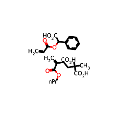 C=C(CCC(C)(C(=O)O)C(=O)O)C(=O)OCCC.C=CC(=O)OC(C(=O)O)c1ccccc1